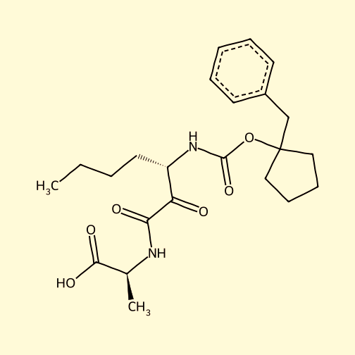 CCCC[C@H](NC(=O)OC1(Cc2ccccc2)CCCC1)C(=O)C(=O)N[C@@H](C)C(=O)O